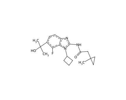 CC1(CC(=O)Nc2nc3ccc(C(C)(C)O)c(F)c3n2C2CCC2)CC1